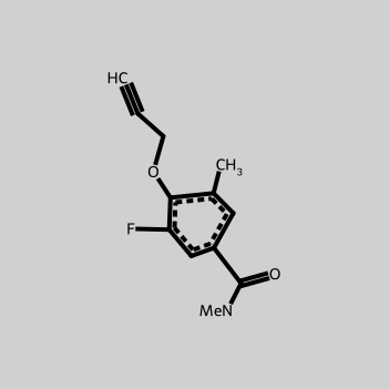 C#CCOc1c(C)cc(C(=O)NC)cc1F